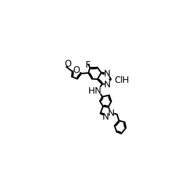 Cl.O=Cc1ccc(-c2cc3c(Nc4ccc5c(cnn5Cc5ccccc5)c4)ncnc3cc2F)o1